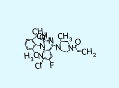 C=CC(=O)N1CCN(c2nc(=O)n(-c3c(C)cccc3C(C)C)c3nc(Cl)c(F)cc23)[C@@H](C)C1